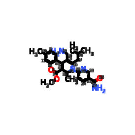 COC(=O)C1=C(c2ccc(C)cc2)C(CN)=C(CC(C)C)N(c2ccc(C(N)=O)cn2)C1C